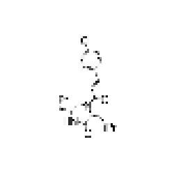 CC(C)C[C@H]1CN(C(=O)C=Cc2ccc(Cl)cc2)[C@@H](CC(C)C)C(=O)N1